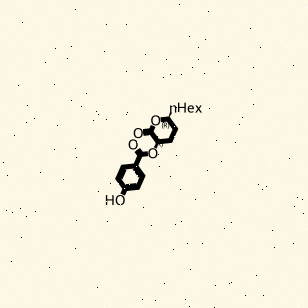 CCCCCC[C@@H]1CC[C@@H](OC(=O)c2ccc(O)cc2)C(=O)O1